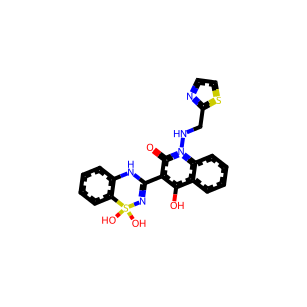 O=c1c(C2=NS(O)(O)c3ccccc3N2)c(O)c2ccccc2n1NCc1nccs1